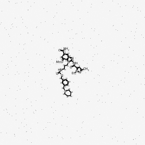 CCn1nc(C)cc1C(=O)Nc1nc2cc(C(N)=O)cc(OC)c2n1CCCNC(=O)OCc1cccc(CN2CCCCC2)c1